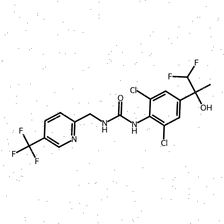 CC(O)(c1cc(Cl)c(NC(=O)NCc2ccc(C(F)(F)F)cn2)c(Cl)c1)C(F)F